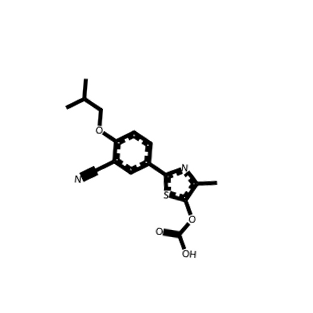 Cc1nc(-c2ccc(OCC(C)C)c(C#N)c2)sc1OC(=O)O